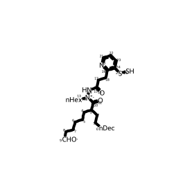 CCCCCCCCCCCCC(CCCCC[C]=O)C(=O)[N+](CCCCCC)NC(=O)CCc1ncccc1SS